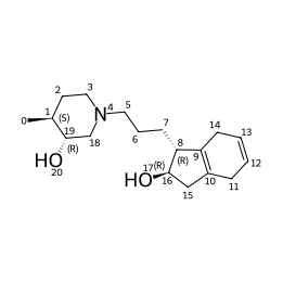 C[C@H]1CCN(CCC[C@@H]2C3=C(CC=CC3)C[C@H]2O)C[C@@H]1O